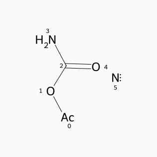 CC(=O)OC(N)=O.[N]